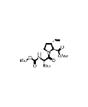 C=C[C@H]1CCN(C(=O)[C@@H](NC(=O)OC(C)(C)C)C(C)(C)C)[C@@H]1C(=O)OC